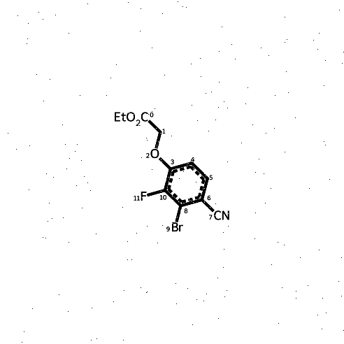 CCOC(=O)COc1ccc(C#N)c(Br)c1F